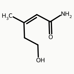 CC(=CC(N)=O)CCO